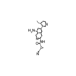 CCc1ccncc1-c1cc(N)c2cnc(NC(=O)C3CC3C#N)cc2c1